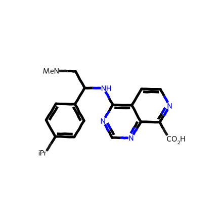 CNCC(Nc1ncnc2c(C(=O)O)nccc12)c1ccc(C(C)C)cc1